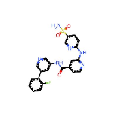 NS(=O)(=O)c1ccc(Nc2cc(C(=O)Nc3cncc(-c4ccccc4F)c3)ccn2)nc1